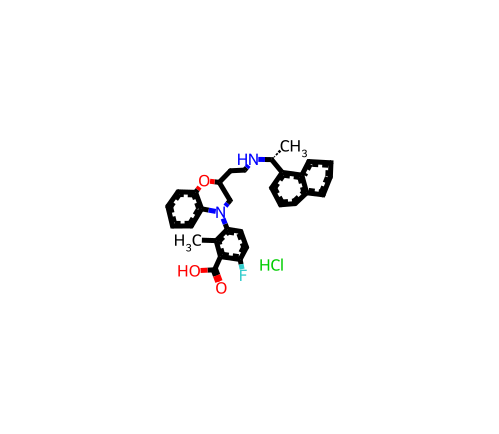 Cc1c(N2CC(CCN[C@H](C)c3cccc4ccccc34)Oc3ccccc32)ccc(F)c1C(=O)O.Cl